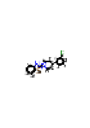 Fc1cccc(C2CCN(c3nc4ccccc4s3)CC2)c1